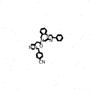 N#Cc1ccc(Cn2cncc2CC(=O)N2C=C3N=C(c4ccccc4)CN3c3ccccc3C2)cc1